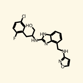 OCC(Cc1cc(Cl)ccc1F)Nc1nc2c(CNc3ccon3)cccc2[nH]1